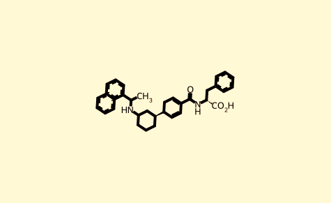 CC(NC1CCC[C@H](C2C=CC(C(=O)N[C@H](Cc3ccccc3)C(=O)O)=CC2)C1)c1cccc2ccccc12